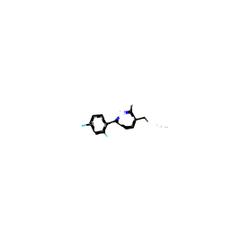 COCc1ccc(-c2ccc(F)cc2F)nc1C(=O)O